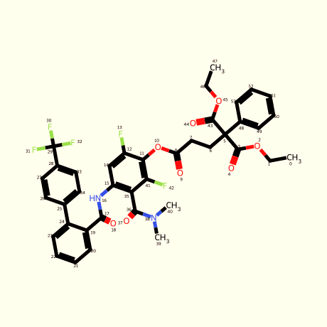 CCOC(=O)C(CCC(=O)Oc1c(F)cc(NC(=O)c2ccccc2-c2ccc(C(F)(F)F)cc2)c(C(=O)N(C)C)c1F)(C(=O)OCC)c1ccccc1